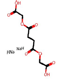 O=C(O)COC(=O)CCC(=O)OCC(=O)O.[NaH].[NaH]